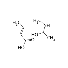 C/C=C/C(=O)O.CNC(C)O